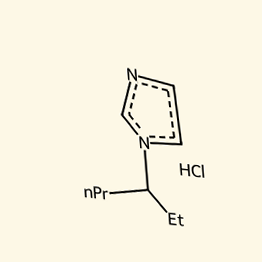 CCCC(CC)n1ccnc1.Cl